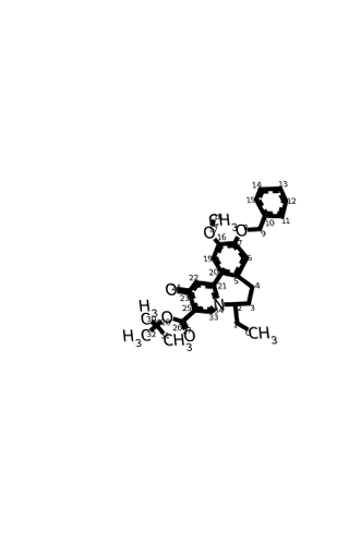 CCC1CCc2cc(OCc3ccccc3)c(OC)cc2-c2cc(=O)c(C(=O)OC(C)(C)C)cn21